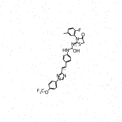 Cc1ccc(F)c(N2C(=O)CS/C2=N\C(O)Nc2ccc(/C=C/c3ncn(-c4ccc(OC(F)(F)F)cc4)n3)cc2)c1